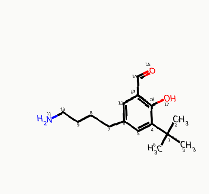 CC(C)(C)c1cc(CCCCN)cc(C=O)c1O